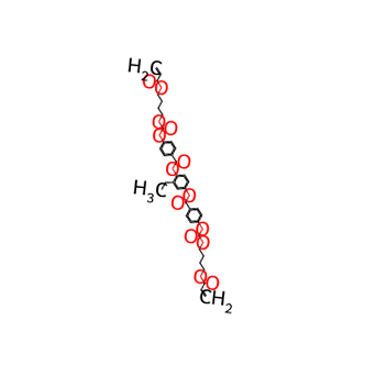 C=CC(=O)OCCCCOC(=O)Oc1ccc(C(=O)Oc2ccc(OC(=O)c3ccc(OC(=O)OCCCCOC(=O)C=C)cc3)c(CC)c2)cc1